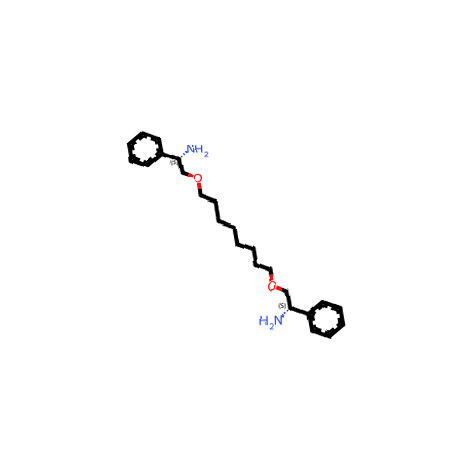 N[C@H](COCCCCCCCCOC[C@@H](N)c1ccccc1)c1ccccc1